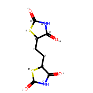 O=C1NC(=O)C(CCC2SC(=O)NC2=O)S1